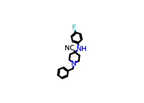 N#CC1(Nc2ccc(F)cc2)CCN(Cc2ccccc2)CC1